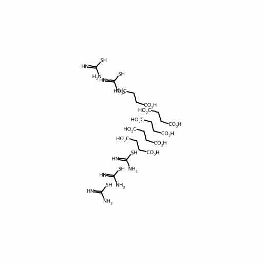 N=C(N)S.N=C(N)S.N=C(N)S.N=C(N)S.N=C(N)S.O=C(O)CCC(=O)O.O=C(O)CCC(=O)O.O=C(O)CCC(=O)O.O=C(O)CCC(=O)O.O=C(O)CCC(=O)O